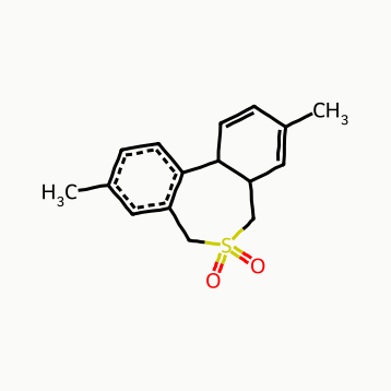 CC1=CC2CS(=O)(=O)Cc3cc(C)ccc3C2C=C1